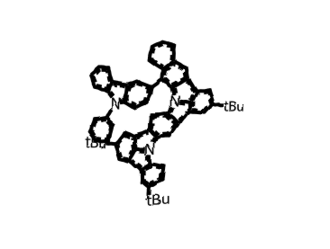 CC(C)(C)c1ccc2c(c1)c1cc(C(C)(C)C)cc3c4cc5c(cc4n2c13)c1cc(C(C)(C)C)cc2c3cc4ccccc4c(-c4ccc6c(c4)c4ccccc4n6-c4ccccc4)c3n5c12